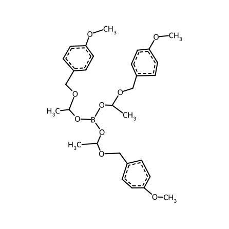 COc1ccc(COC(C)OB(OC(C)OCc2ccc(OC)cc2)OC(C)OCc2ccc(OC)cc2)cc1